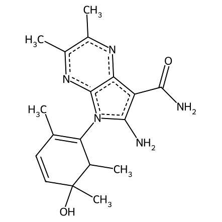 CC1=C(n2c(N)c(C(N)=O)c3nc(C)c(C)nc32)C(C)C(C)(O)C=C1